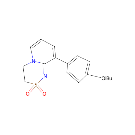 CC(C)COc1ccc(C2=CC=CN3CCS(=O)(=O)N=C23)cc1